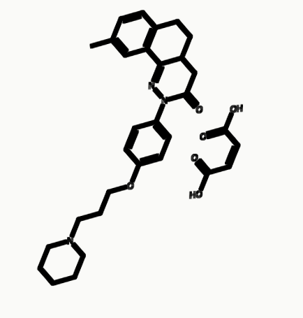 Cc1ccc2c(c1)C1=NN(c3ccc(OCCCN4CCCCC4)cc3)C(=O)CC1CC2.O=C(O)/C=C\C(=O)O